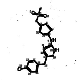 CS(=O)(=O)Cc1ccc(NC2=N[C]=C(Cc3ccc(Cl)cc3)CN2)cc1